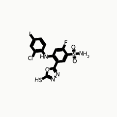 NS(=O)(=O)c1cc(-c2nnc(S)o2)c(Nc2ccc(I)cc2Cl)cc1F